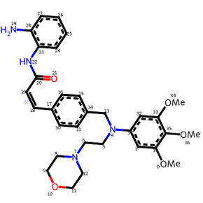 COc1cc(N(CCN2CCOCC2)Cc2ccc(/C=C\C(=O)Nc3ccccc3N)cc2)cc(OC)c1OC